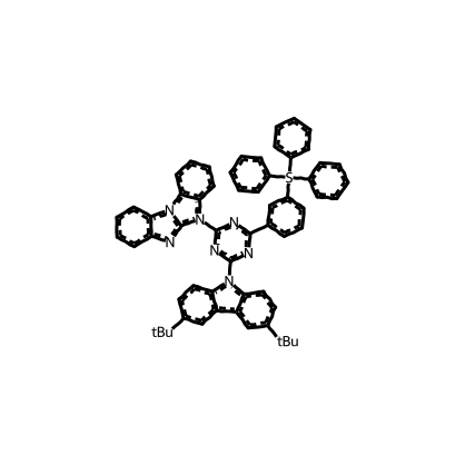 CC(C)(C)c1ccc2c(c1)c1cc(C(C)(C)C)ccc1n2-c1nc(-c2cccc(S(c3ccccc3)(c3ccccc3)c3ccccc3)c2)nc(-n2c3ccccc3n3c4ccccc4nc23)n1